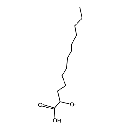 CCCCCCCCCCCC([O])C(=O)O